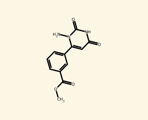 COC(=O)c1cccc(-c2cc(=O)[nH]c(=O)n2N)c1